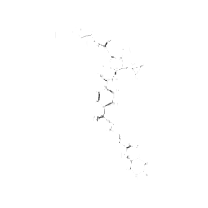 CC1C(C(=O)NCCC(=O)O)SC(=NC(=O)c2ccc(C(=N)NCCCC(=O)NC3CCCCC3)cc2)N1C1CC1